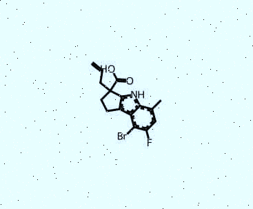 C=CCC1(C(=O)O)CCc2c1[nH]c1c(C)cc(F)c(Br)c21